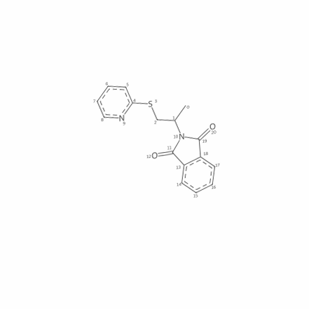 CC(CSc1ccccn1)N1C(=O)c2ccccc2C1=O